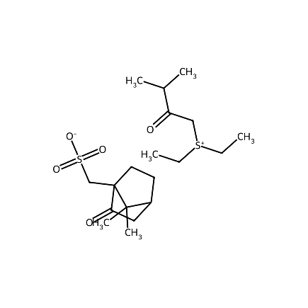 CC1(C)C2CCC1(CS(=O)(=O)[O-])C(=O)C2.CC[S+](CC)CC(=O)C(C)C